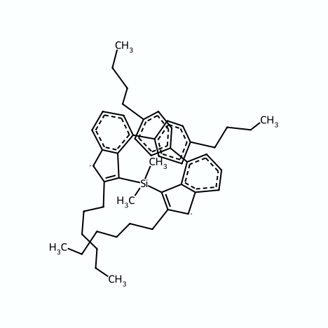 CCCCCCC1=C([Si](C)(C)C2=C(CCCCCC)[CH]c3cccc(-c4ccc(CCCC)cc4)c32)c2c(cccc2-c2ccc(CCCC)cc2)[CH]1